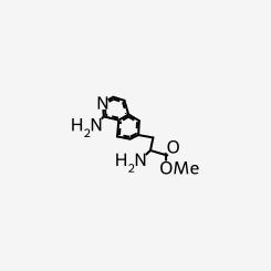 COC(=O)C(N)Cc1ccc2c(N)nccc2c1